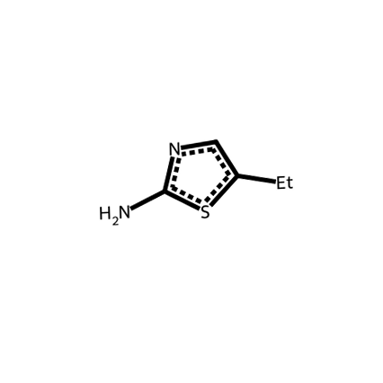 CCc1cnc(N)s1